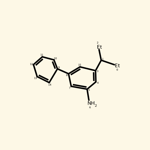 CCC(CC)c1cc(N)cc(-c2ccccc2)c1